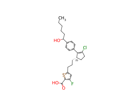 CCCCCC(O)c1ccc(C2=C(Cl)CC[C@@H]2CCCc2cc(F)c(C(=O)O)s2)cc1